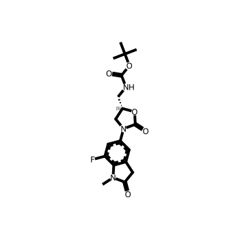 CN1C(=O)Cc2cc(N3C[C@H](CNC(=O)OC(C)(C)C)OC3=O)cc(F)c21